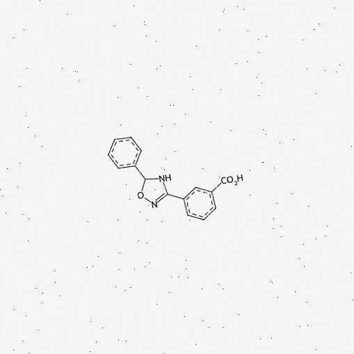 O=C(O)c1cccc(C2=NOC(c3ccccc3)N2)c1